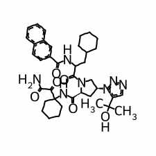 CC(C)(O)c1cnnn1[C@H]1C[C@@H](C(=O)NC2(C(=O)C(N)=O)CCCCC2)N(C(=O)C(CC2CCCCC2)NC(=O)c2ccc3ccccc3c2)C1